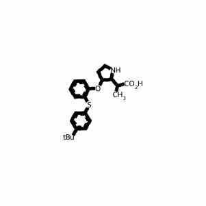 CC(C(=O)O)C1NCCC1Oc1ccccc1Sc1ccc(C(C)(C)C)cc1